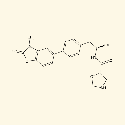 Cn1c(=O)oc2ccc(-c3ccc(C[C@@H](C#N)NC(=O)[C@@H]4CNCO4)cc3)cc21